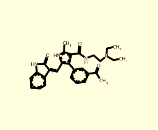 CCN(CC)CCNC(=O)c1c(C)[nH]c(/C=C2\C(=O)Nc3ccccc32)c1-c1cccc(C(C)=O)c1